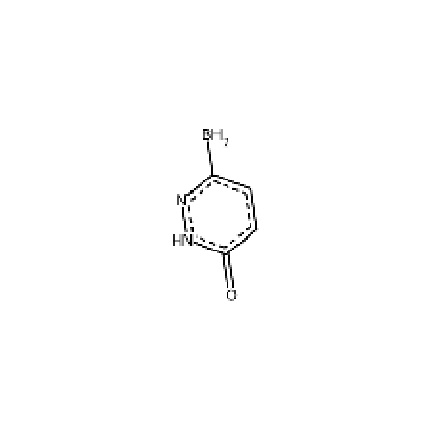 Bc1ccc(=O)[nH]n1